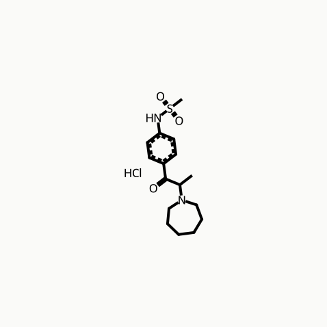 CC(C(=O)c1ccc(NS(C)(=O)=O)cc1)N1CCCCCC1.Cl